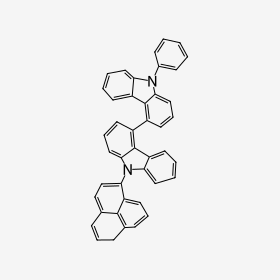 C1=Cc2ccc(-n3c4ccccc4c4c(-c5cccc6c5c5ccccc5n6-c5ccccc5)cccc43)c3cccc(c23)C1